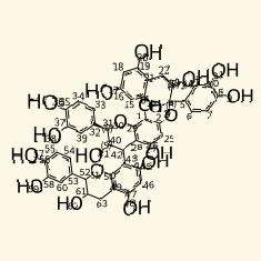 Cc1c(O[C@]2(c3ccc(O)c(O)c3)Oc3cc(O)cc(O)c3C[C@H]2O)cc(O)c2c1O[C@H](c1ccc(O)c(O)c1)[C@@H](O)C2c1c(O)cc(O)c2c1OC(c1ccc(O)c(O)c1)C(O)C2